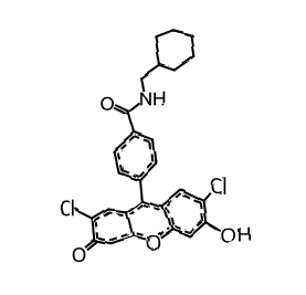 O=C(NCC1CCCCC1)c1ccc(-c2c3cc(Cl)c(=O)cc-3oc3cc(O)c(Cl)cc23)cc1